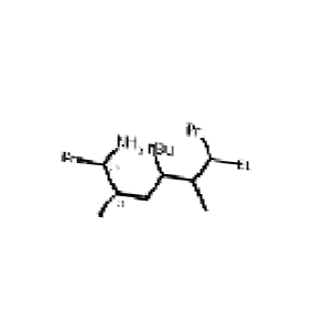 CCCCC(C[C@@H](C)[C@H](N)C(C)C)C(C)C(CC)C(C)C